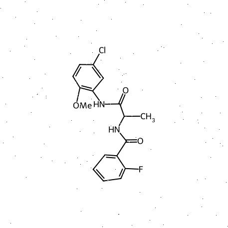 COc1ccc(Cl)cc1NC(=O)C(C)NC(=O)c1ccccc1F